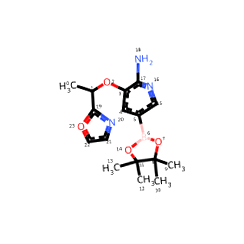 CC(Oc1cc(B2OC(C)(C)C(C)(C)O2)cnc1N)c1ncco1